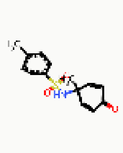 Cc1ccc(S(=O)(=O)NC2(C)C=CC(=O)C=C2)cc1